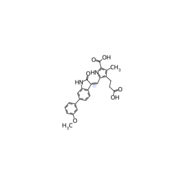 COc1cccc(-c2ccc3c(c2)NC(=O)/C3=C\c2[nH]c(C(=O)O)c(C)c2CCC(=O)O)c1